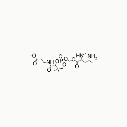 CNC(CC(C)N)C(=O)OCOP1(=O)OCC(C)(C)[C@H](C(=O)NCCC(=O)OC)O1